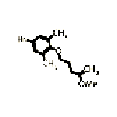 C=C(CCCOc1c(C)cc(Br)cc1C)OC